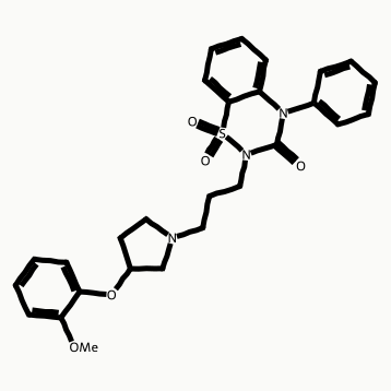 COc1ccccc1OC1CCN(CCCN2C(=O)N(c3ccccc3)c3ccccc3S2(=O)=O)C1